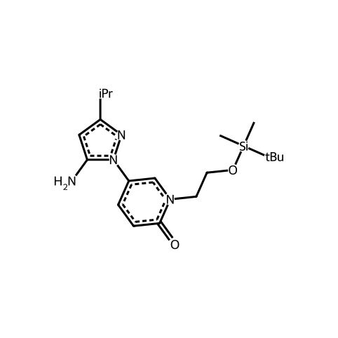 CC(C)c1cc(N)n(-c2ccc(=O)n(CCO[Si](C)(C)C(C)(C)C)c2)n1